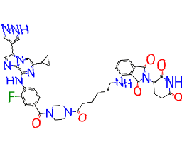 O=C1CCC(N2C(=O)c3cccc(NCCCCCC(=O)N4CCN(C(=O)c5ccc(Nc6nc(C7CC7)cn7c(-c8cn[nH]c8)cnc67)c(F)c5)CC4)c3C2=O)C(=O)N1